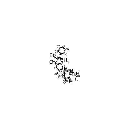 CCN(C(=O)c1ccc2c(c1)CCN1C(=O)[C@@H]3CCCN[C@@H]3C[C@@H]21)[C@H](C)c1ccccc1